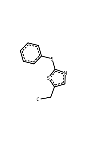 ClCc1cnc(Sc2ccccc2)s1